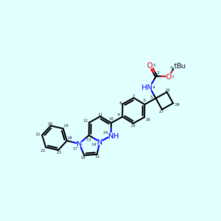 CC(C)(C)OC(=O)NC1(c2ccc(C3=CC=C4N(C=CN4c4ccccc4)N3)cc2)CCC1